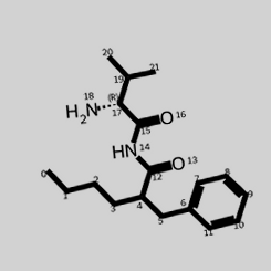 CCCCC(Cc1ccccc1)C(=O)NC(=O)[C@H](N)C(C)C